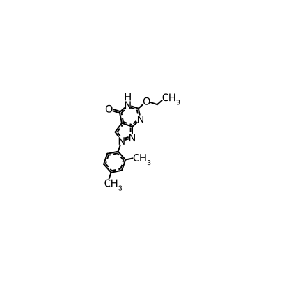 CCOc1nc2nn(-c3ccc(C)cc3C)cc2c(=O)[nH]1